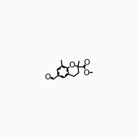 COC(=O)C1(C)CCc2cc(C=O)cc(C)c2O1